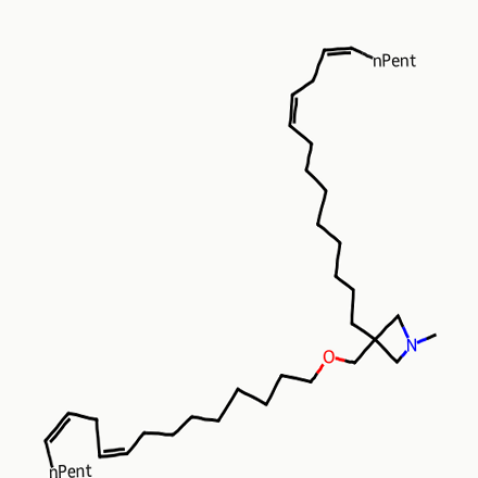 CCCCC/C=C\C/C=C\CCCCCCCCOCC1(CCCCCCCC/C=C\C/C=C\CCCCC)CN(C)C1